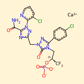 NC(=O)c1nc(Cn2nc(-c3ccc(Cl)cc3)n(C[C@H](OP(=O)([O-])[O-])C(F)(F)F)c2=O)nn1-c1ncccc1Cl.[Ca+2]